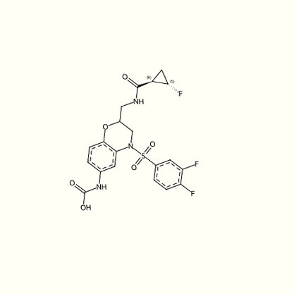 O=C(O)Nc1ccc2c(c1)N(S(=O)(=O)c1ccc(F)c(F)c1)CC(CNC(=O)[C@H]1C[C@@H]1F)O2